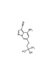 Bc1cc(SCC(C)(C)O)cn2ncc(C#N)c12